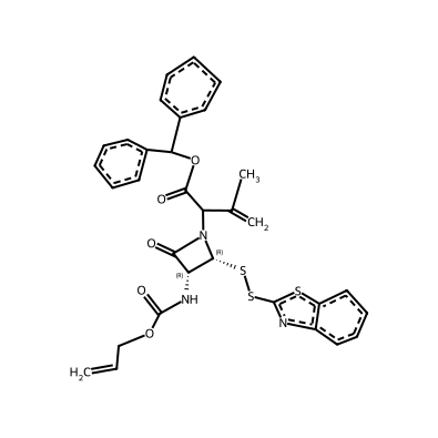 C=CCOC(=O)N[C@@H]1C(=O)N(C(C(=C)C)C(=O)OC(c2ccccc2)c2ccccc2)[C@@H]1SSc1nc2ccccc2s1